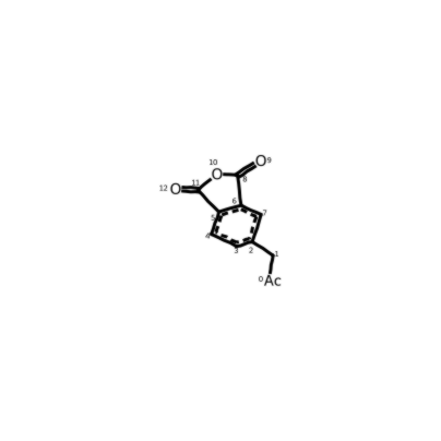 CC(=O)Cc1ccc2c(c1)C(=O)OC2=O